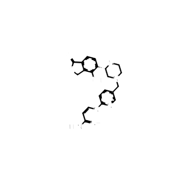 Cc1c([C@@H]2CN(Cc3ccc(N/C=C\C(=N)N)nc3)CCN2)ccc2c1COC2=O